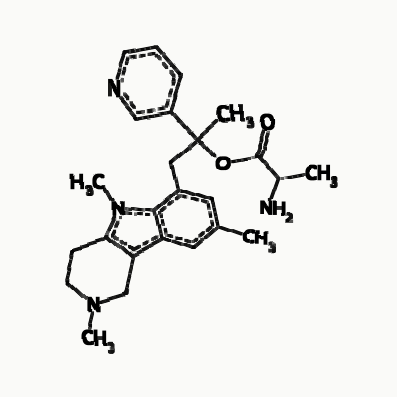 Cc1cc(CC(C)(OC(=O)C(C)N)c2cccnc2)c2c(c1)c1c(n2C)CCN(C)C1